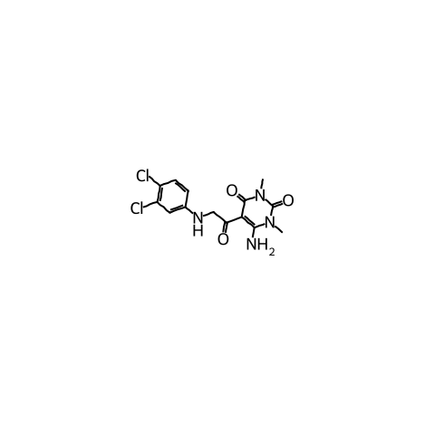 Cn1c(N)c(C(=O)CNc2ccc(Cl)c(Cl)c2)c(=O)n(C)c1=O